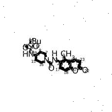 Cc1c(NC(=O)N2CCC(NS(=O)(=O)C(C)(C)C)CC2)ccc2oc(=O)ccc12